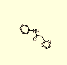 O=C(Cc1nccs1)Nc1ccccc1